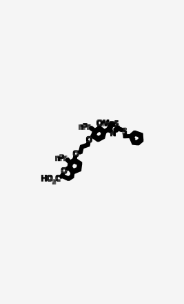 CCCc1c(OCCCOc2ccc(-c3csc(SCc4ccccc4)n3)c(OC)c2CCC)ccc2c1OC(C(=O)O)CC2